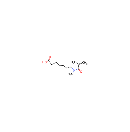 C=C(C)C(=O)N(C)CCCCCCC(=O)O